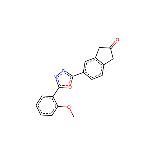 COc1ccccc1-c1nnc(-c2ccc3c(c2)CC(=O)C3)o1